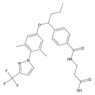 CCCC(Oc1cc(C)c(-n2ccc(C(F)(F)F)n2)c(C)c1)c1ccc(C(=O)NCCC(=O)O)cc1